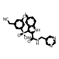 COP(=O)(c1cc(C)cc(CC#N)c1)c1c(C(=O)NCc2cncnc2)[nH]c2ccc(I)cc12